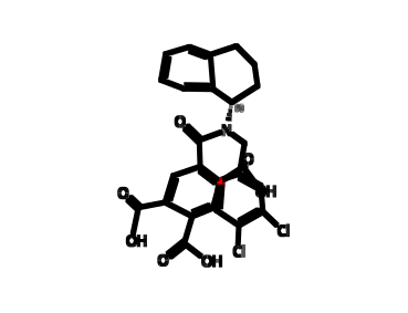 O=C(O)c1cc(C(=O)O)c(C(=O)N(Cc2ccc(Cl)c(Cl)c2)[C@H]2CCCc3ccccc32)cc1C(=O)O